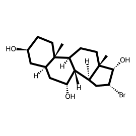 C[C@]12CC[C@H](O)C[C@@H]1C[C@@H](O)[C@@H]1[C@@H]2CC[C@]2(C)[C@H](O)[C@H](Br)C[C@@H]12